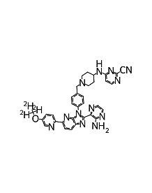 [2H]C([2H])([2H])Oc1ccc(-c2ccc3nc(-c4nccnc4N)n(-c4ccc(CN5CCC(Nc6ccnc(C#N)n6)CC5)cc4)c3n2)nc1